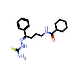 NC(=S)N/N=C(\CCCNC(=O)C1CCCCC1)c1ccccc1